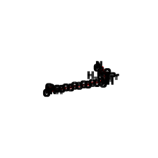 CCCN(CCCNC(=O)OCCOCCOCCOCCOCCOCCOCCOCCOCCOCCOCCNC(=O)CN1C(=O)C=CC1=O)C(=O)C1=Cc2ccc(C(=O)N(C)C)cc2N=C(N)C1